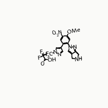 COc1cc(-n2cc3c(n2)CNC3)c(-c2cnn(C)c2)cc1[N+](=O)[O-].O=C(O)C(F)(F)F